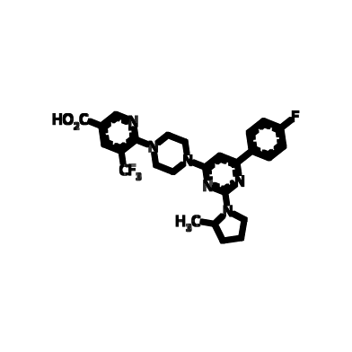 CC1CCCN1c1nc(-c2ccc(F)cc2)cc(N2CCN(c3ncc(C(=O)O)cc3C(F)(F)F)CC2)n1